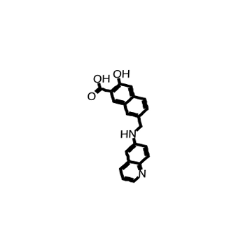 O=C(O)c1cc2cc(CNc3ccc4ncccc4c3)ccc2cc1O